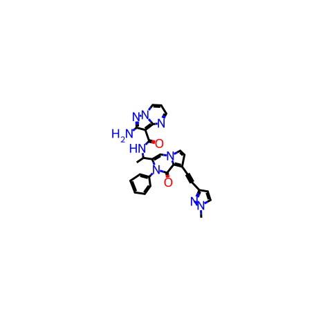 CC(NC(=O)c1c(N)nn2cccnc12)c1cn2ccc(C#Cc3ccn(C)n3)c2c(=O)n1-c1ccccc1